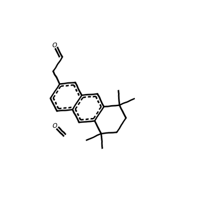 C=O.CC1(C)CCC(C)(C)c2cc3cc(CC=O)ccc3cc21